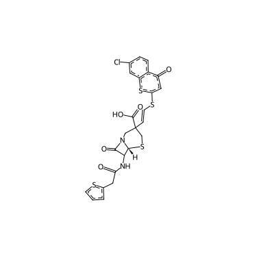 O=C(Cc1cccs1)NC1C(=O)N2CC(C=CSc3cc(=O)c4ccc(Cl)cc4s3)(C(=O)O)CS[C@H]12